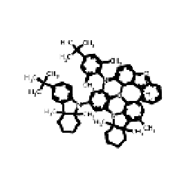 Cc1cc(C)c2c3c1B1c4c(cc(N5c6ccc(C(C)(C)C)cc6C6(C)CCCCC56C)cc4N3C3(C)CCCCC23C)N(c2c(C)cc(C(C)(C)C)cc2C)c2ccc3oc4ccccc4c3c21